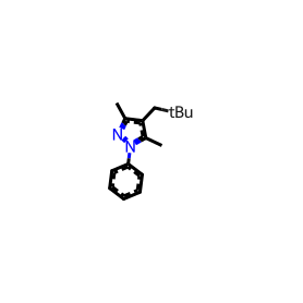 Cc1nn(-c2ccccc2)c(C)c1CC(C)(C)C